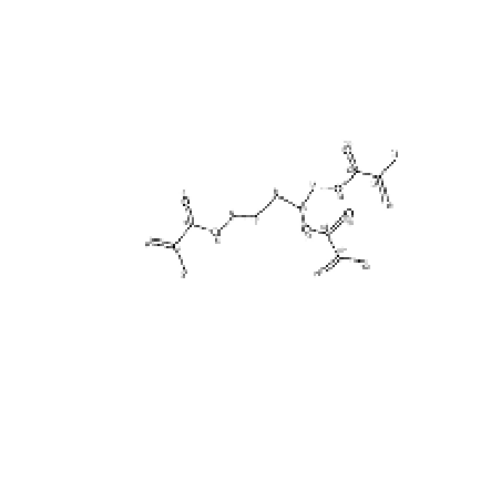 C=C(C)C(=O)OCCCC(COC(=O)C(=C)C)OC(=O)C(=C)C